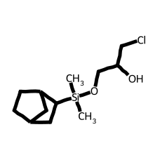 C[Si](C)(OCC(O)CCl)C1CC2CCC1C2